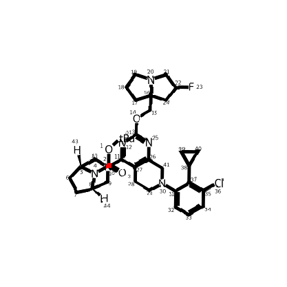 CC(C)(C)OC(=O)N1[C@@H]2CC[C@H]1CN(c1nc(OCC34CCCN3CC(F)C4)nc3c1CCN(c1cccc(Cl)c1C1CC1)C3)C2